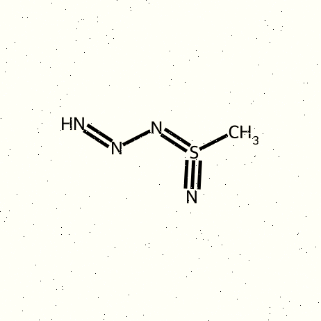 CS(#N)=NN=N